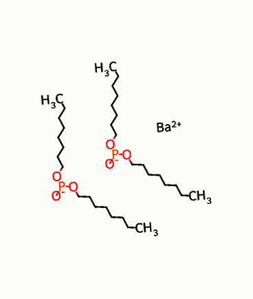 CCCCCCCCOP([O-])OCCCCCCCC.CCCCCCCCOP([O-])OCCCCCCCC.[Ba+2]